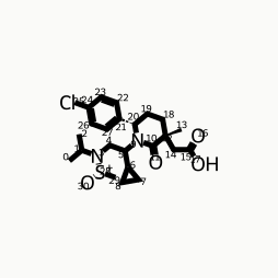 CC(C)N(CC(C1CC1)N1C(=O)[C@@](C)(CC(=O)O)CC[C@H]1c1ccc(Cl)cc1)[S+](C)[O-]